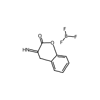 FB(F)F.N=C1Cc2ccccc2OC1=O